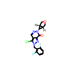 O=c1c2nn(Cc3c(F)cccc3F)c(Cl)c2cnn1[C@H]1[C@@H]2COC[C@@H]21